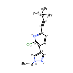 CC(C)[Si](C#Cc1ccc(-c2cnn(CC(C)(C)C)c2)c(Cl)n1)(C(C)C)C(C)C